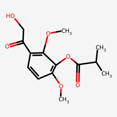 COc1ccc(C(=O)CO)c(OC)c1OC(=O)C(C)C